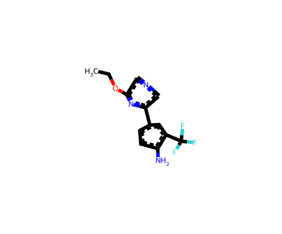 CCOc1cncc(-c2ccc(N)c(C(F)(F)F)c2)n1